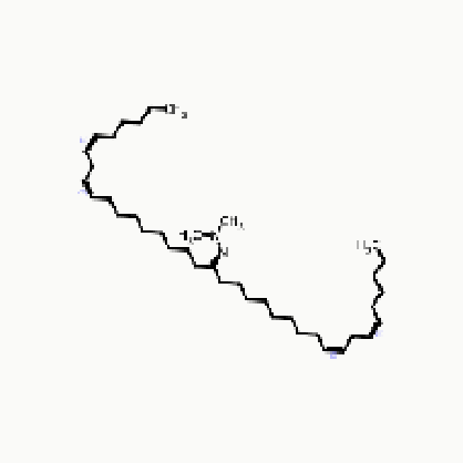 CCCCC/C=C\C/C=C\CCCCCCCCC(CCCCCCCC/C=C\C/C=C\CCCCC)=NN(C)C